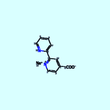 O=C([O-])c1ccnc(-c2ccccn2)c1.[Na+]